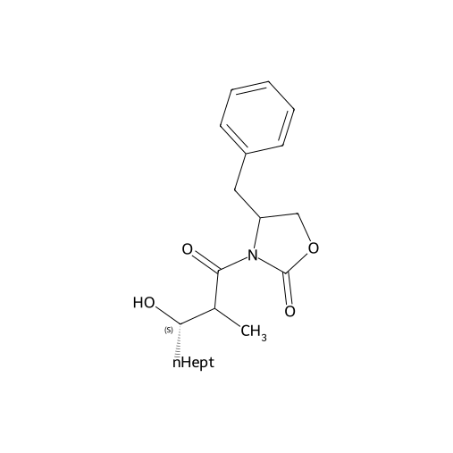 CCCCCCC[C@H](O)C(C)C(=O)N1C(=O)OCC1Cc1ccccc1